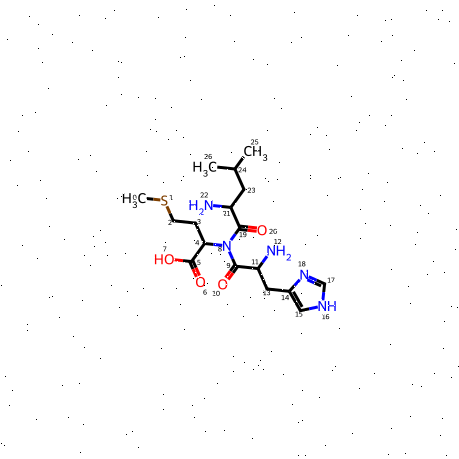 CSCCC(C(=O)O)N(C(=O)C(N)Cc1c[nH]cn1)C(=O)C(N)CC(C)C